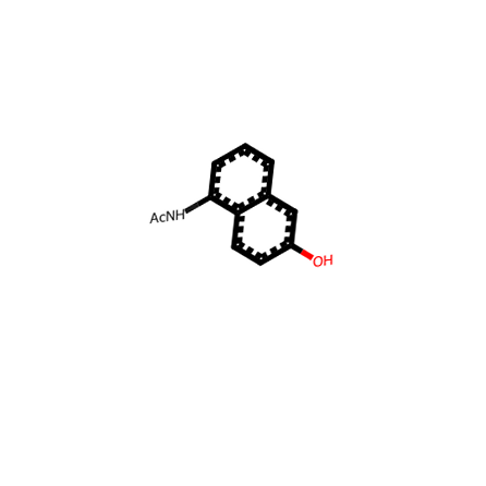 CC(=O)Nc1cccc2cc(O)ccc12